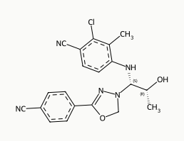 Cc1c(N[C@H]([C@@H](C)O)N2COC(c3ccc(C#N)cc3)=N2)ccc(C#N)c1Cl